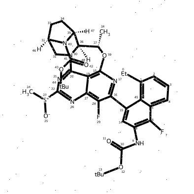 CCc1cccc2c(F)c(NC(=O)OC(C)(C)C)cc(-c3nc4c5c(nc([S+](C)[O-])nc5c3F)N3C[C@H]5CC[C@@H]([C@H]3[C@H](C)O4)N5C(=O)OC(C)(C)C)c12